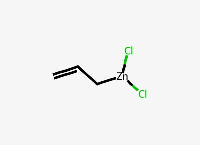 C=C[CH2][Zn]([Cl])[Cl]